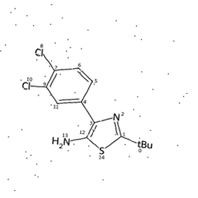 CC(C)(C)c1nc(-c2ccc(Cl)c(Cl)c2)c(N)s1